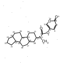 CN(C(=O)Oc1ccc(=O)oc1)C1CCC2C(CCC3C4CCCC4CCC23)C1